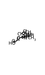 CC(=N)c1cnc(N2CC(C3CCCN(CCCC(=O)O)C3)C2)nc1N[C@H](C)c1ccc(Cl)cc1Cl